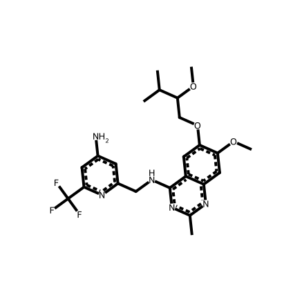 COc1cc2nc(C)nc(NCc3cc(N)cc(C(F)(F)F)n3)c2cc1OCC(OC)C(C)C